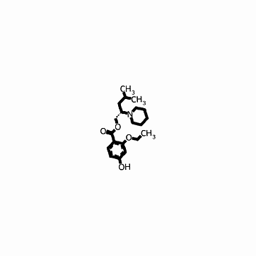 CCOc1cc(O)ccc1C(=O)OC[C@H](CC(C)C)N1CCCCC1